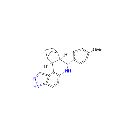 COc1ccc([C@@H]2Nc3ccc4[nH]ncc4c3[C@H]3C4CCC(C4)[C@@H]23)cc1